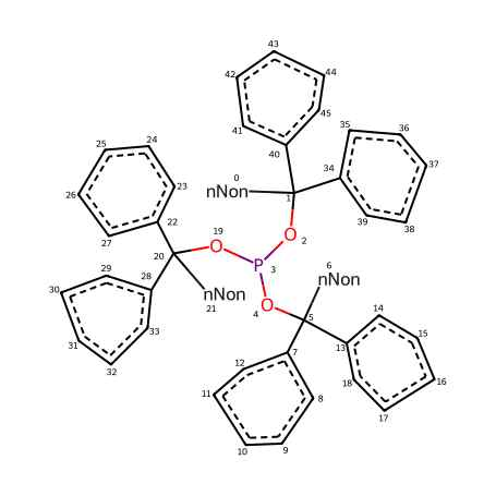 CCCCCCCCCC(OP(OC(CCCCCCCCC)(c1ccccc1)c1ccccc1)OC(CCCCCCCCC)(c1ccccc1)c1ccccc1)(c1ccccc1)c1ccccc1